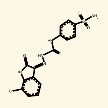 NS(=O)(=O)c1ccc(NC(=S)NN=C2C(=O)Nc3c(Br)cccc32)cc1